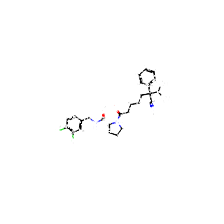 CC(C)C(C#N)(CCCCC(=O)N1CCC[C@@H]1C(=O)NCc1ccc(Cl)c(Cl)c1)c1ccccc1